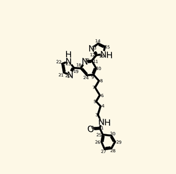 O=C(NCCCCCCc1cc(-c2ncc[nH]2)nc(-c2ncc[nH]2)c1)c1ccccc1